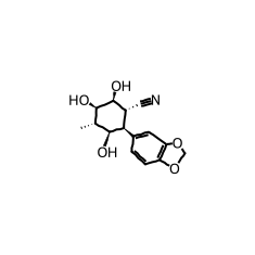 C[C@@H]1[C@@H](O)[C@@H](O)[C@H](C#N)[C@@H](c2ccc3c(c2)OCO3)[C@H]1O